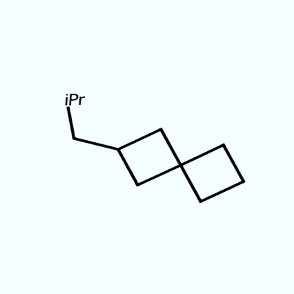 CC(C)CC1CC2(CCC2)C1